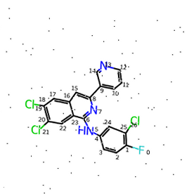 Fc1ccc(Nc2nc(-c3cccnc3)cc3cc(Cl)c(Cl)cc23)cc1Cl